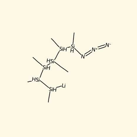 [Li][SiH](C)[SiH](C)[SiH](C)[SiH](C)[SiH](C)[SiH](C)N=[N+]=[N-]